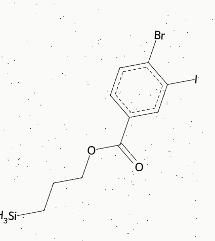 O=C(OCCC[SiH3])c1ccc(Br)c(I)c1